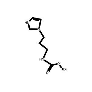 CC(C)(C)OC(=O)NCCCN1C=CNC1